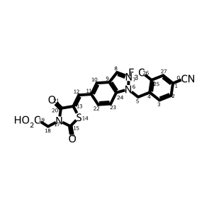 N#Cc1ccc(Cn2ncc3cc(/C=C4\SC(=O)N(CC(=O)O)C4=O)ccc32)c(C(F)(F)F)c1